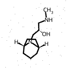 CNC[C@H](O)CN1[C@@H]2C[CH]C[C@H]1CC2